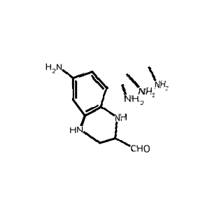 CN.CN.CN.Nc1ccc2c(c1)NCC(C=O)N2